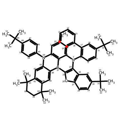 Cc1cc2c3c(c1)N(c1ccc(C(C)(C)C)cc1-c1ccccc1)c1c(oc4ccc(C(C)(C)C)cc14)B3c1cc3c(cc1N2c1ccc(C(C)(C)C)cc1)C(C)(C)CCC3(C)C